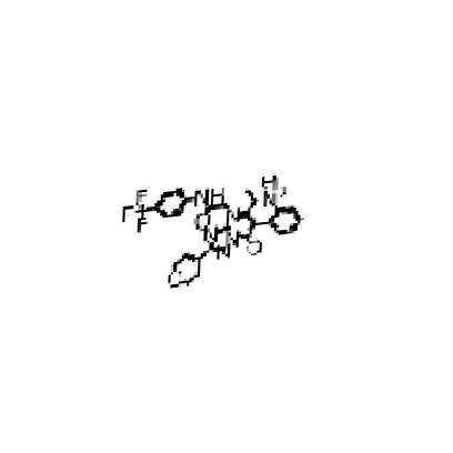 CCc1c(-c2ccccc2N)c(=O)n2nc(C3=CCOCC3)nc2n1CC(=O)Nc1ccc(C(F)(F)F)cc1